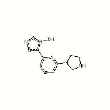 On1cnnc1-c1cccc(N2CCNC2)n1